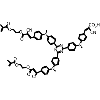 C=C(C)C(=O)OCCOC(=O)/C=C(\Cl)c1ccc(N(C)c2ccc(-c3nc(-c4ccc(N(C)c5ccc(/C=C(\C#N)C(=O)O)cc5)cc4)nc(-c4ccc(N(C)c5ccc(/C=C(\C#N)C(=O)OCCOC(=O)C(=C)C)cc5)cc4)n3)cc2)cc1